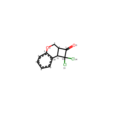 O=C1C2COc3ccccc3C2C1(Cl)Cl